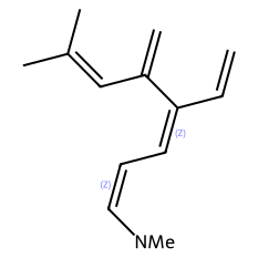 C=C/C(=C/C=C\NC)C(=C)C=C(C)C